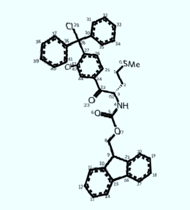 CSCC[C@H](NC(=O)OCC1c2ccccc2-c2ccccc21)C(=O)c1ccc(C(Cl)(c2ccccc2)c2ccccc2)c(Cl)c1